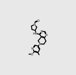 COc1ncc(N2CCc3ncnc(NC4CCN(C=O)C4)c3C2)cc1C